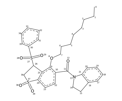 CCCCCCCCOc1c(C(=O)N2CCc3ccccc32)ccc2c1C(S(=O)(=O)c1ccccc1)CS2(=O)=O